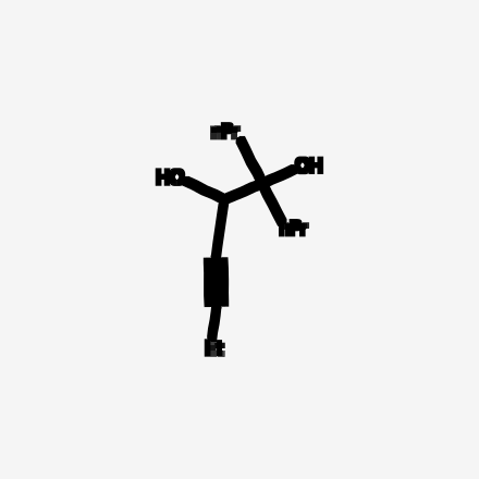 [CH2]CC#CC(O)C(O)(CCC)CCC